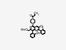 C=CC(=O)N1CCN(c2nc(COC)c(-c3ccccc3CCC)c3nc(-c4ccccc4F)c(Cl)cc23)CC1